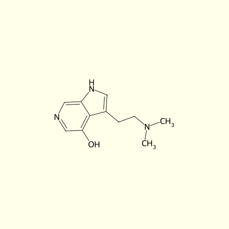 CN(C)CCc1c[nH]c2cncc(O)c12